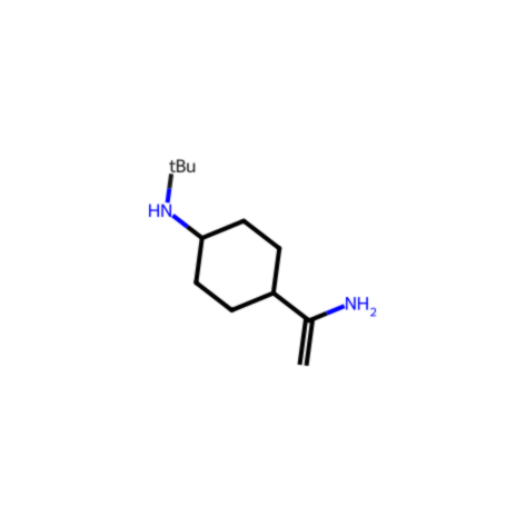 C=C(N)C1CCC(NC(C)(C)C)CC1